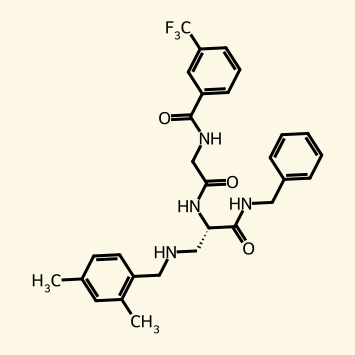 Cc1ccc(CNC[C@H](NC(=O)CNC(=O)c2cccc(C(F)(F)F)c2)C(=O)NCc2ccccc2)c(C)c1